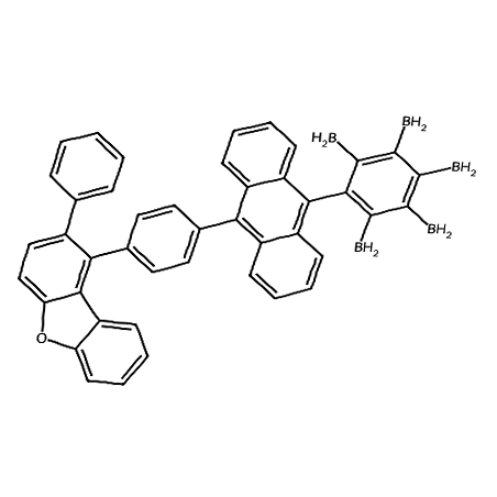 Bc1c(B)c(B)c(-c2c3ccccc3c(-c3ccc(-c4c(-c5ccccc5)ccc5oc6ccccc6c45)cc3)c3ccccc23)c(B)c1B